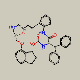 O=C(O)NC(C(=O)Nc1ccccc1CC[C@@H]1CNC[C@@H](COc2cccc3c2CCC3)O1)C(c1ccccc1)c1ccccc1